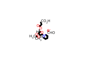 CC1(C)O[C@@H]2[C@H](O1)[C@@H](COC(=O)CCC(=O)O)O[C@H]2[n+]1ccccc1.O=C[O-]